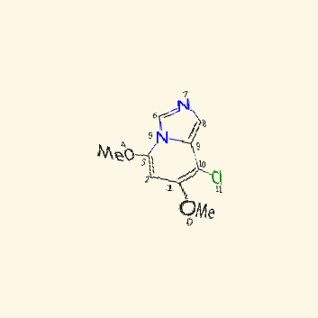 COc1cc(OC)n2cncc2c1Cl